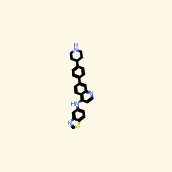 c1cc(Nc2ccc3scnc3c2)c2ccc(-c3ccc(C4CCNCC4)cc3)cc2n1